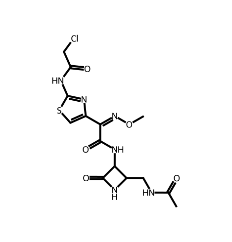 CON=C(C(=O)NC1C(=O)NC1CNC(C)=O)c1csc(NC(=O)CCl)n1